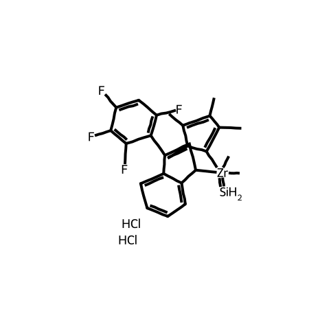 CC1=C(C)C(C)[C]([Zr]([CH3])([CH3])(=[SiH2])[CH]2C=C(c3c(F)cc(F)c(F)c3F)c3ccccc32)=C1C.Cl.Cl